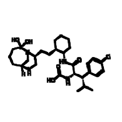 CC(C)[C@@H](c1ccc(Cl)cc1)[C@H](NC(=O)O)C(=O)N[C@H]1CCCC[C@@H]1CC[C@H]1CN[C@@H]2CCCS(O)(O)N1C2